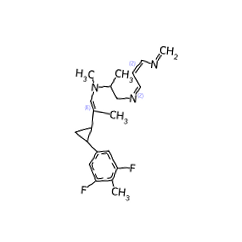 C=N/C=C\C=N/CC(C)N(C)/C=C(\C)C1CC1c1cc(F)c(C)c(F)c1